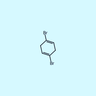 BrC1=CCC(Br)=CC1